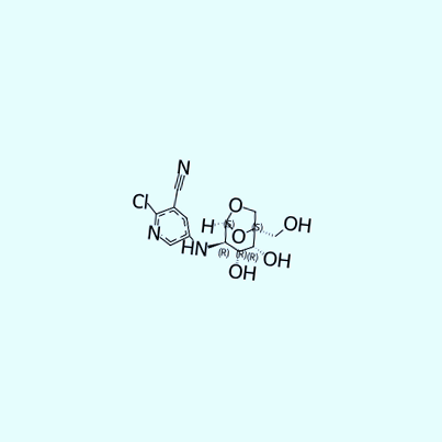 N#Cc1cc(N[C@H]2[C@H]3OC[C@](CO)(O3)[C@H](O)[C@@H]2O)cnc1Cl